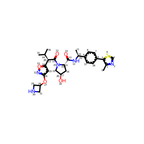 Cc1ncsc1-c1ccc([C@H](C)NC(=O)[C@@H]2C[C@@H](O)CN2C(=O)[C@@H](c2cc(OC3CNC3)no2)C(C)C)cc1